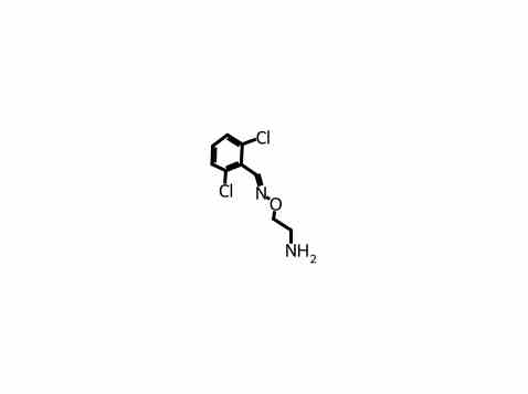 NCCON=Cc1c(Cl)cccc1Cl